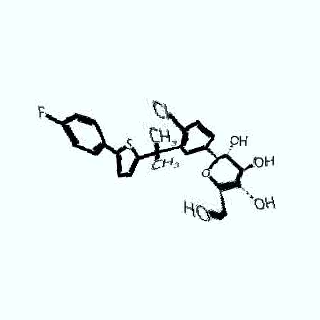 CC(C)(c1ccc(-c2ccc(F)cc2)s1)c1cc([C@@H]2O[C@H](CO)[C@@H](O)[C@H](O)[C@H]2O)ccc1Cl